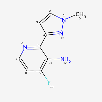 Cn1ccc(-c2nccc(F)c2N)n1